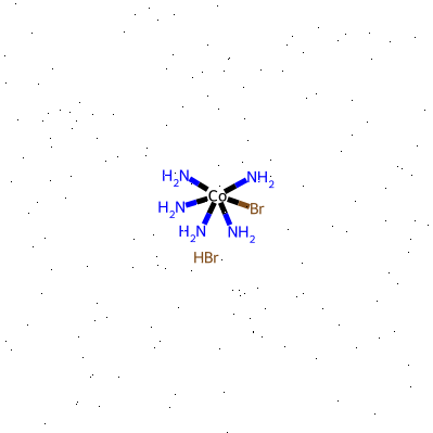 Br.[NH2][Co]([NH2])([NH2])([NH2])([NH2])[Br]